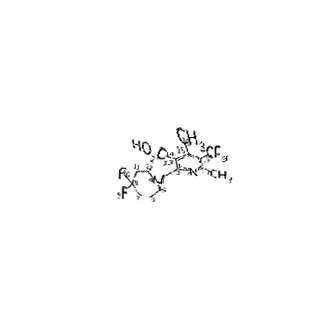 Cc1nc(N2CCCC(F)(F)CC2)c(C(=O)O)c(C)c1C(F)(F)F